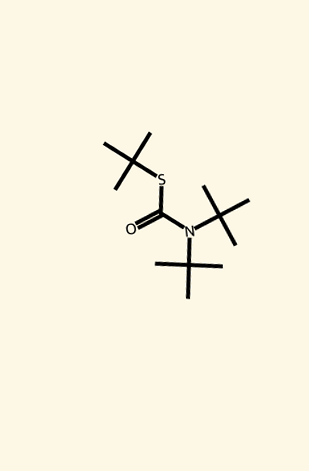 CC(C)(C)SC(=O)N(C(C)(C)C)C(C)(C)C